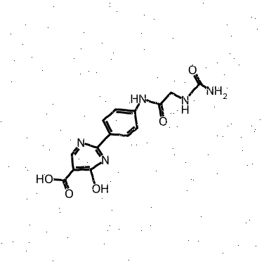 NC(=O)NCC(=O)Nc1ccc(-c2ncc(C(=O)O)c(O)n2)cc1